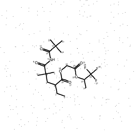 CCC(CC(C)(C)C(=O)NC(=O)C(C)(C)C)C(=O)OCC(=O)OC(C)C(F)(F)F